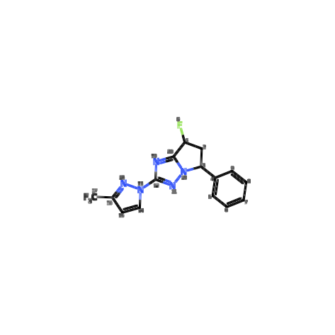 FC1CC(c2ccccc2)n2nc(-n3ccc(C(F)(F)F)n3)nc21